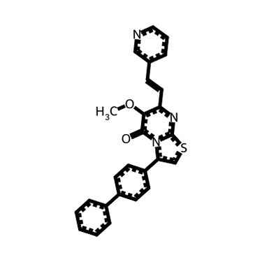 COc1c(/C=C/c2cccnc2)nc2scc(-c3ccc(-c4ccccc4)cc3)n2c1=O